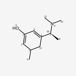 CC1C=C(O)C=C([C@H](C)N(C)C)C1